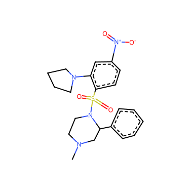 CN1CCN(S(=O)(=O)c2ccc([N+](=O)[O-])cc2N2CCCC2)C(c2ccccc2)C1